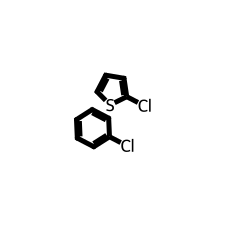 Clc1ccccc1.Clc1cccs1